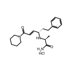 C[C@H](N[C@H](/C=C/C(=O)N1CCCCC1)CCc1ccccc1)C(N)=O.Cl